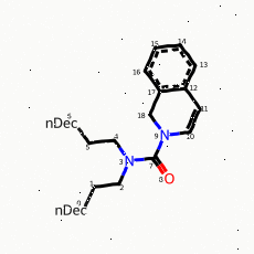 CCCCCCCCCCCCN(CCCCCCCCCCCC)C(=O)N1C=Cc2ccccc2C1